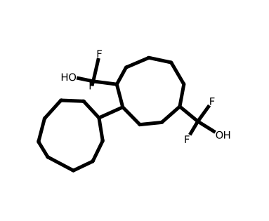 OC(F)(F)C1CCCCC(C(O)(F)F)C(C2CCCCCCCC2)CC1